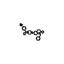 O=C(c1ccc(Br)cc1)N1CCN(c2ccc3c(c2)CCC(=O)N3Cc2ccccc2)CC1